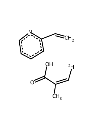 C=Cc1ccccn1.[2H]C=C(C)C(=O)O